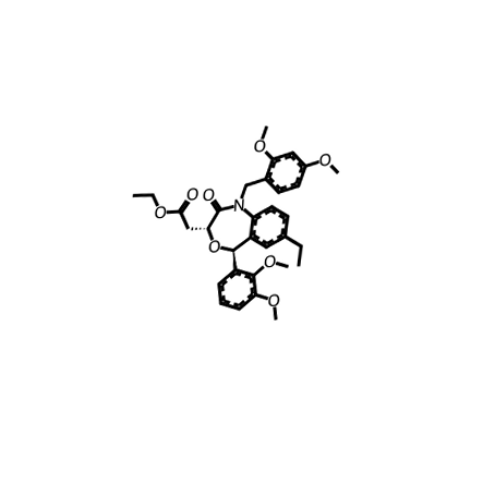 CCOC(=O)C[C@H]1O[C@H](c2cccc(OC)c2OC)c2cc(CC)ccc2N(Cc2ccc(OC)cc2OC)C1=O